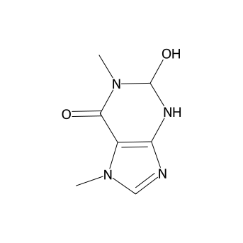 CN1C(=O)c2c(ncn2C)NC1O